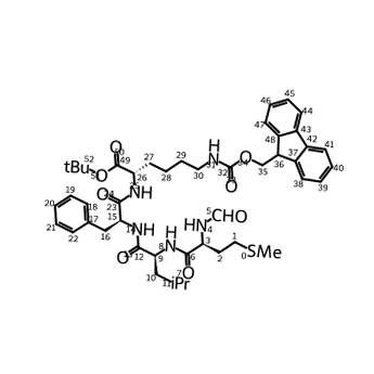 CSCC[C@H](NC=O)C(=O)N[C@@H](CC(C)C)C(=O)N[C@@H](Cc1ccccc1)C(=O)N[C@@H](CCCCNC(=O)OCC1c2ccccc2-c2ccccc21)C(=O)OC(C)(C)C